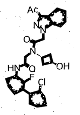 CC(=O)c1nn(CC(=O)N(CC(=O)Nc2cccc(-c3ccccc3Cl)c2F)[C@H]2C[C@H](O)C2)c2ccccc12